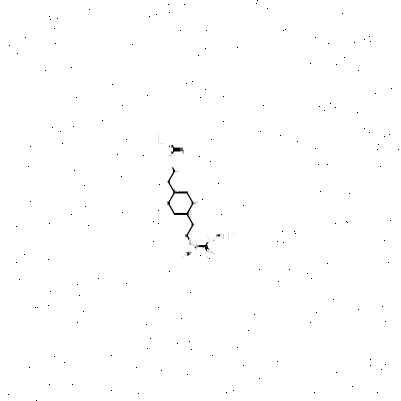 CCC(=O)OCCC1CCC(CCN(C)C(=O)OC(C)(C)C)CC1